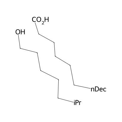 CC(C)CCCCCO.CCCCCCCCCCCCCCCC(=O)O